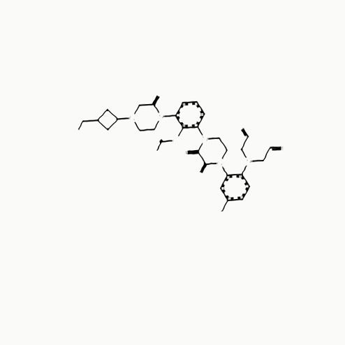 C=CCN(CC=C)c1ccc(Cl)cc1N1CCN(c2cccc(N3CCN(C4CC(CO)C4)CC3=O)c2OC(=O)CC)C(=O)C1=O